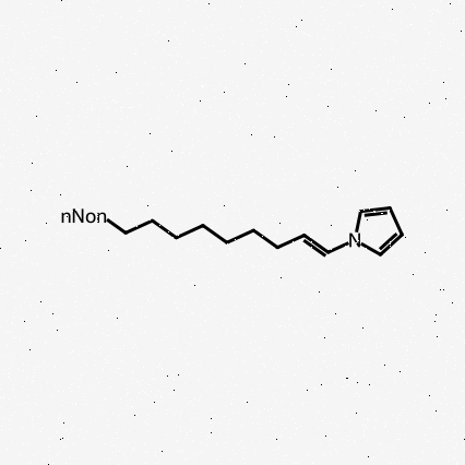 CCCCCCCCCCCCCCCCC=Cn1cccc1